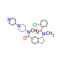 CN(C(=O)c1ccc2c(c1)C(N(C)C(=O)c1ccccc1Cl)CC2)C1CCN(c2ccncc2)CC1